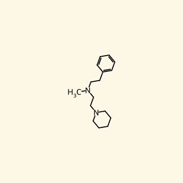 CN(CCc1ccccc1)CCN1CCCCC1